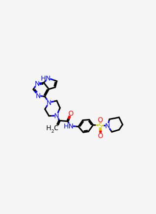 C=C(C(=O)Nc1ccc(S(=O)(=O)N2CCCCC2)cc1)N1CCN(c2ncnc3[nH]ccc23)CC1